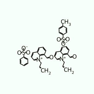 C=CC[n+]1cccc2cccc(C=O)c21.C=CC[n+]1cccc2cccc(C=O)c21.Cc1ccc(S(=O)(=O)[O-])cc1.O=S(=O)([O-])c1ccccc1